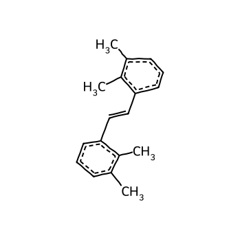 Cc1cccc(C=Cc2cccc(C)c2C)c1C